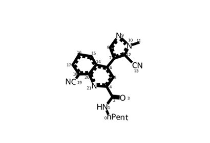 CCCCCNC(=O)c1cc(-c2cnn(C)c2C#N)c2cccc(C#N)c2n1